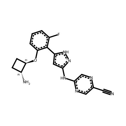 N#Cc1cnc(Nc2cc(-c3c(F)cccc3O[C@@H]3CC[C@H]3N)[nH]n2)cn1